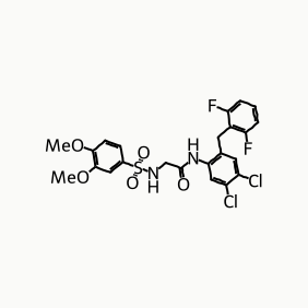 COc1ccc(S(=O)(=O)NCC(=O)Nc2cc(Cl)c(Cl)cc2Cc2c(F)cccc2F)cc1OC